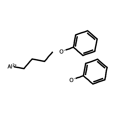 CCC[CH2][Al+2].[O-]c1ccccc1.[O-]c1ccccc1